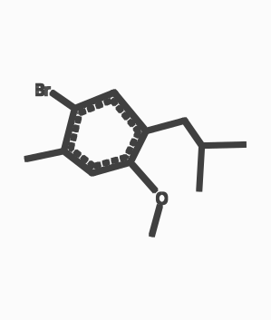 COc1cc(C)c(Br)cc1CC(C)C